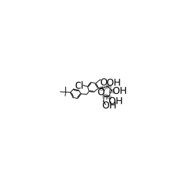 CC(C)(C)c1ccc(Cc2cc3c(cc2Cl)CO[C@]32O[C@H](CO)[C@@H](O)[C@H](O)[C@H]2O)cc1